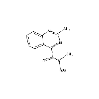 CCCCN(C)C(=O)c1nc(N)nc2ccccc12